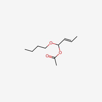 CC=CC(OCCCC)OC(C)=O